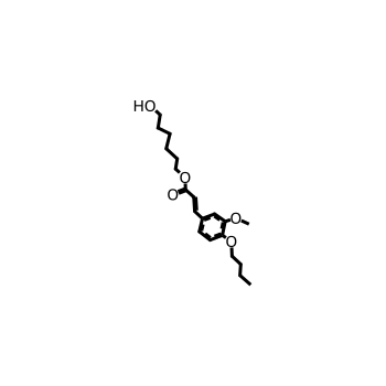 CCCCOc1ccc(C=CC(=O)OCCCCCCO)cc1OC